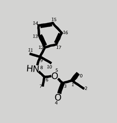 C=C(C)C(=O)OC(C)NC(C)(C)c1ccccc1